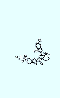 CS(=O)(=O)N1CCc2nc(C(=O)NC3CCCCC3(N)C(=O)c3cc4cc(Cl)ccc4[nH]3)sc2C1